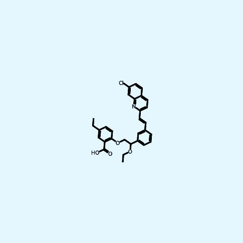 CCOC(COc1ccc(CC)cc1C(=O)O)c1cccc(/C=C/c2ccc3ccc(Cl)cc3n2)c1